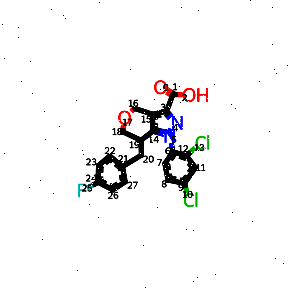 O=C(O)c1nn(-c2ccc(Cl)cc2Cl)c2c1COCC2Cc1ccc(F)cc1